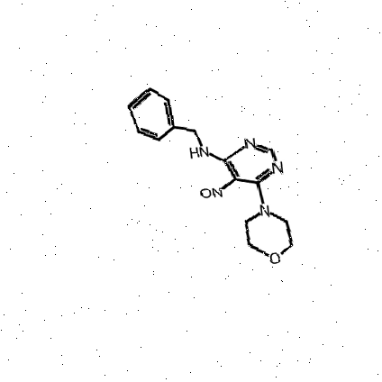 O=Nc1c(NCc2ccccc2)ncnc1N1CCOCC1